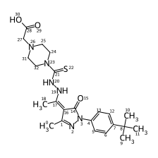 CC1=NN(c2ccc(C(C)(C)C)cc2)C(=O)/C1=C(/C)NNC(=S)N1CCN(CC(=O)O)CC1